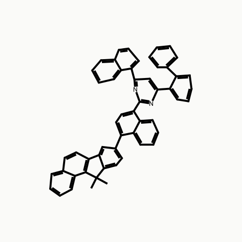 CC1(C)c2ccc(-c3ccc(-c4nc(-c5ccccc5-c5ccccc5)cc(-c5cccc6ccccc56)n4)c4ccccc34)cc2-c2ccc3ccccc3c21